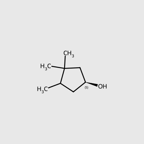 CC1C[C@H](O)CC1(C)C